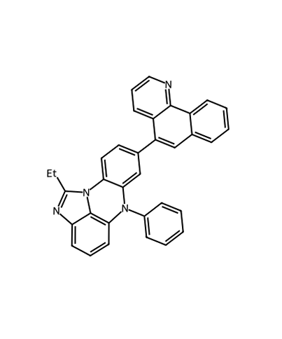 CCc1nc2cccc3c2n1-c1ccc(-c2cc4ccccc4c4ncccc24)cc1N3c1ccccc1